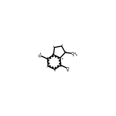 CC1CCc2c(Cl)ccc(Cl)c21